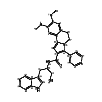 COc1cc2c(cc1OC)-c1cc(C(=O)NC(CO)Cc3c[nH]c4ccccc34)c(-c3ccccc3)n1CC2